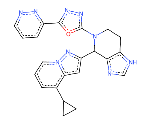 c1cnnc(-c2nnc(N3CCc4[nH]cnc4C3c3cc4c(C5CC5)cccn4n3)o2)c1